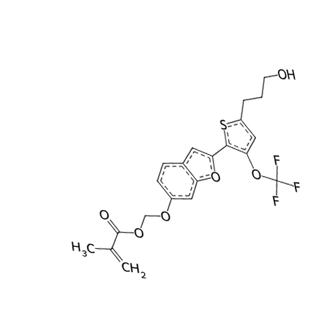 C=C(C)C(=O)OCOc1ccc2cc(-c3sc(CCCO)cc3OC(F)(F)F)oc2c1